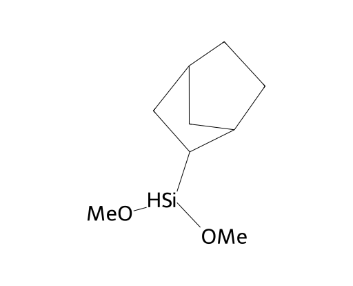 CO[SiH](OC)C1CC2CCC1C2